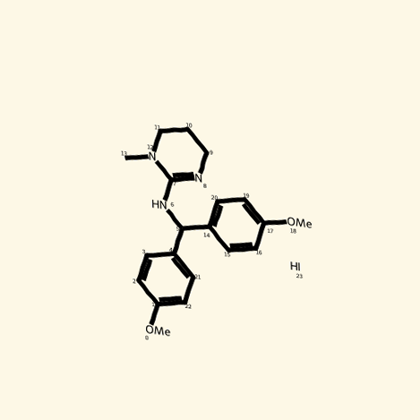 COc1ccc(C(NC2=NCCCN2C)c2ccc(OC)cc2)cc1.I